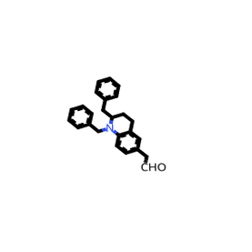 O=CCc1ccc2c(c1)CCC(Cc1ccccc1)N2Cc1ccccc1